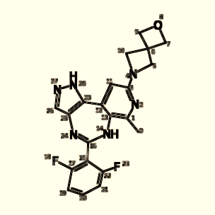 Cc1nc(N2CC3(COC3)C2)cc2c1NC(c1c(F)cccc1F)=Nc1cn[nH]c1-2